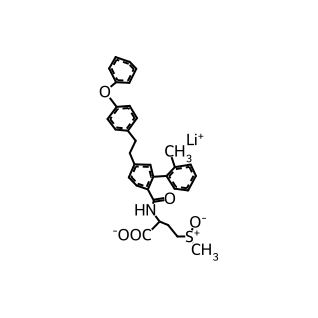 Cc1ccccc1-c1cc(CCc2ccc(Oc3ccccc3)cc2)ccc1C(=O)NC(CC[S+](C)[O-])C(=O)[O-].[Li+]